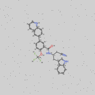 N#CCC(Cc1c[nH]c2ccccc12)NC(=O)c1cc(-c2ccc3ncccc3c2)ccc1OC(F)(F)F